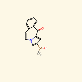 O=c1c2ccccc2ccn2cc([S+]([O-])C(F)(F)F)cc12